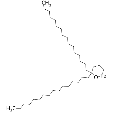 CCCCCCCCCCCCCCCCC1(CCCCCCCCCCCCCCCC)CCC[Te]O1